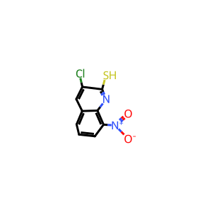 O=[N+]([O-])c1cccc2cc(Cl)c(S)nc12